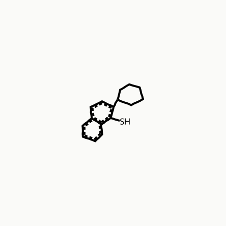 Sc1c(C2CCCCC2)ccc2ccccc12